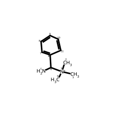 C[N+](C)(C)C(N)c1ccccc1